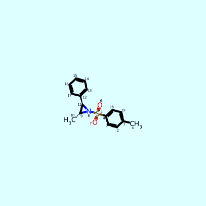 Cc1ccc(S(=O)(=O)N2[C@H](C)[C@H]2c2ccccc2)cc1